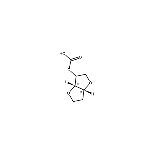 O=C(O)OC1CO[C@@H]2CCO[C@H]12